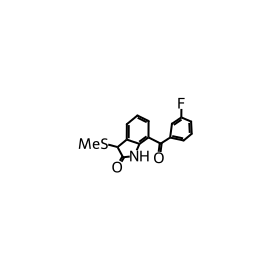 CSC1C(=O)Nc2c(C(=O)c3cccc(F)c3)cccc21